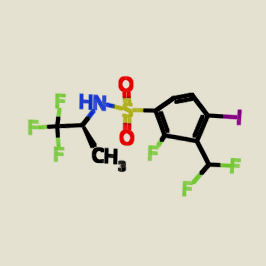 C[C@H](NS(=O)(=O)c1ccc(I)c(C(F)F)c1F)C(F)(F)F